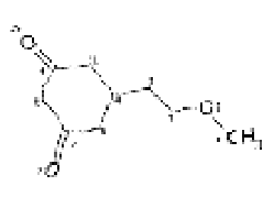 COCCC1CC(=O)CC(=O)C1